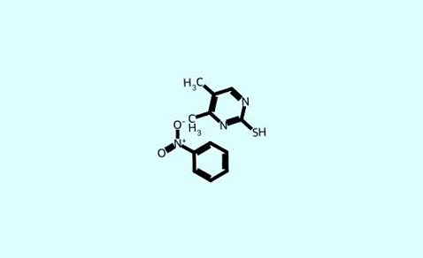 Cc1cnc(S)nc1C.O=[N+]([O-])c1ccccc1